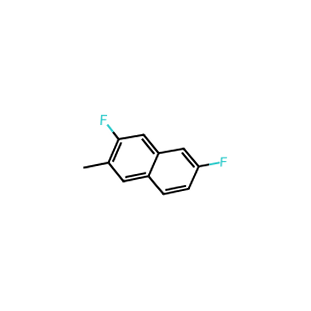 Cc1cc2ccc(F)cc2cc1F